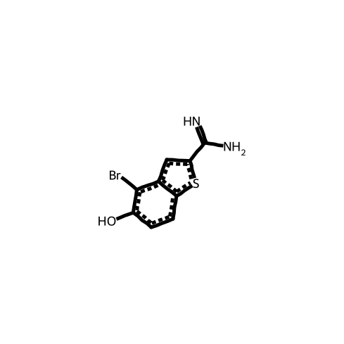 N=C(N)c1cc2c(Br)c(O)ccc2s1